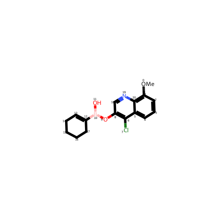 COc1cccc2c(Cl)c(OB(O)C3=CCCCC3)cnc12